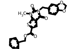 Cn1c(=O)n(Cc2ccc3c(c2)OCO3)c(=O)c2cc(C(=O)OCc3ccccc3)sc21